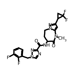 CN1C(=O)C(NC(=O)c2ncn(Cc3cccc(F)c3F)n2)CCn2nc(C3CC3(F)F)cc21